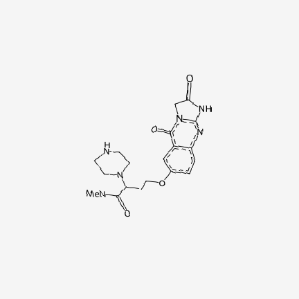 CNC(=O)C(CCOc1ccc2nc3n(c(=O)c2c1)CC(=O)N3)N1CCNCC1